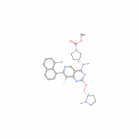 CN1CCC[C@H]1COc1nc(N(C)[C@@H]2CCN(C(=O)OC(C)(C)C)C2)c2cnc(-c3cccc4cccc(Cl)c34)c(F)c2n1